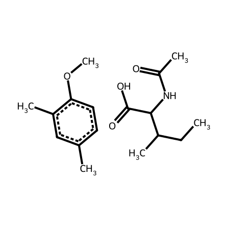 CCC(C)C(NC(C)=O)C(=O)O.COc1ccc(C)cc1C